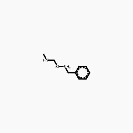 CNCO[SiH2]Cc1ccccc1